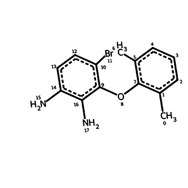 Cc1cccc(C)c1Oc1c(Br)ccc(N)c1N